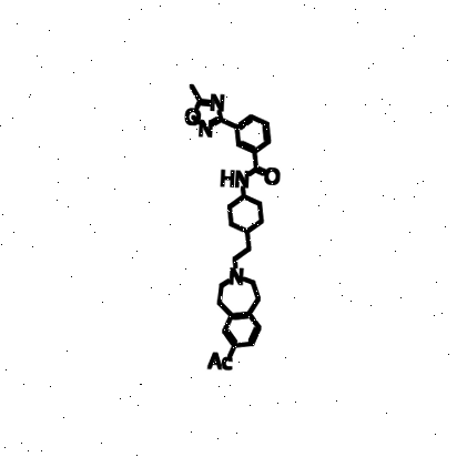 CC(=O)c1ccc2c(c1)CCN(CCC1CCC(NC(=O)c3cccc(-c4noc(C)n4)c3)CC1)CC2